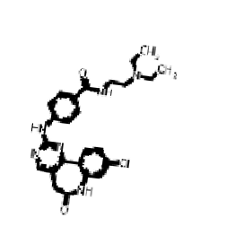 CCN(CC)CCNC(=O)c1ccc(Nc2ncc3c(n2)-c2ccc(Cl)cc2NC(=O)C3)cc1